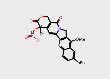 CCCCc1ccc2nc3c(c(OC)c2c1)Cn1c-3cc2c(c1=O)COC(=O)[C@@]2(CC)O[PH](=O)O